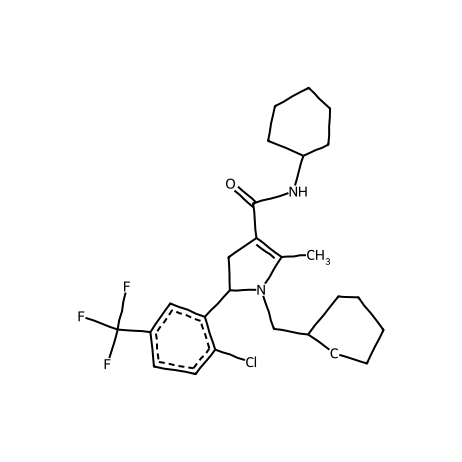 CC1=C(C(=O)NC2CCCCC2)CC(c2cc(C(F)(F)F)ccc2Cl)N1CC1CCCCC1